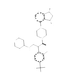 C[C@@H]1C[C@H](O)c2ncnc(N3CCN(C(=O)C(CNC4CCOCC4)c4ccc(C(F)(F)F)cc4F)CC3)c21